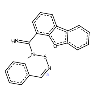 CN(S/N=C\c1ccccc1)C(=N)c1cccc2c1oc1ccccc12